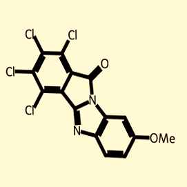 COc1ccc2nc3n(c2c1)C(=O)c1c(Cl)c(Cl)c(Cl)c(Cl)c1-3